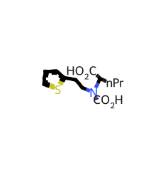 CCCC(C(=O)O)N(CCc1cccs1)C(=O)O